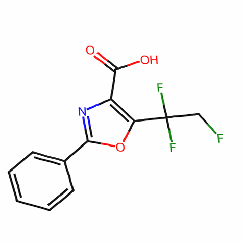 O=C(O)c1nc(-c2ccccc2)oc1C(F)(F)CF